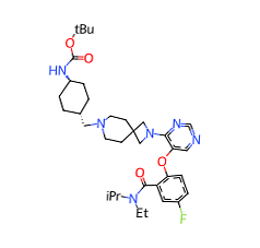 CCN(C(=O)c1cc(F)ccc1Oc1cncnc1N1CC2(CCN(C[C@H]3CC[C@H](NC(=O)OC(C)(C)C)CC3)CC2)C1)C(C)C